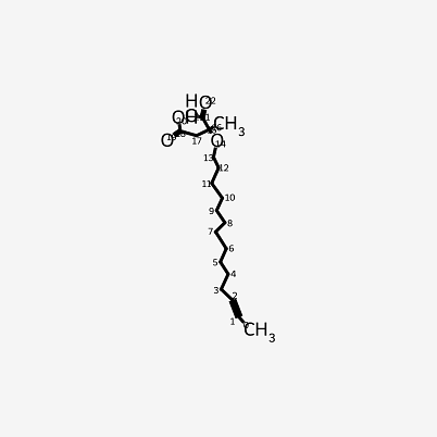 CC#CCCCCCCCCCCCOC(C)(CC(=O)O)C(=O)O